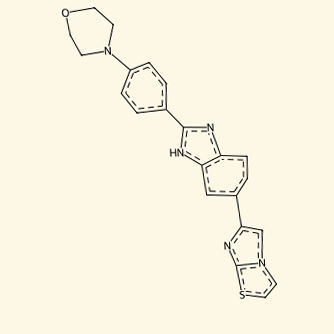 c1cn2cc(-c3ccc4nc(-c5ccc(N6CCOCC6)cc5)[nH]c4c3)nc2s1